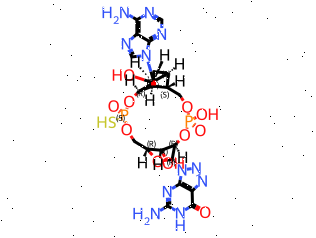 Nc1nc2c(nnn2[C@@H]2O[C@@H]3CO[P@](=O)(S)O[C@H]4[C@@H](O)[C@H](n5cnc6c(N)ncnc65)[C@H]5C[C@H]4[C@H]5COP(=O)(O)O[C@@H]2[C@@H]3O)c(=O)[nH]1